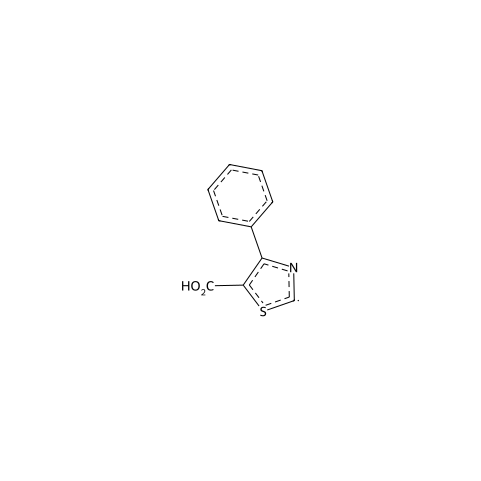 O=C(O)c1s[c]nc1-c1ccccc1